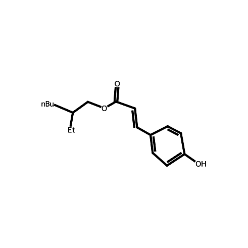 CCCCC(CC)COC(=O)C=Cc1ccc(O)cc1